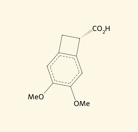 COc1cc2c(cc1OC)[C@@H](C(=O)O)C2